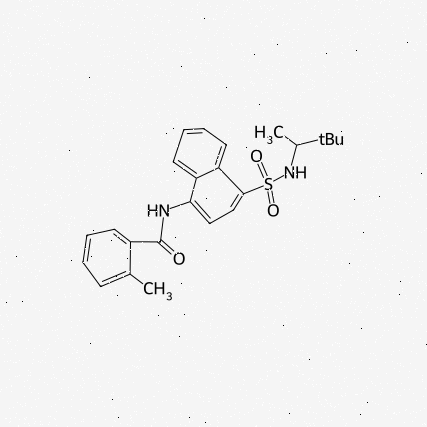 Cc1ccccc1C(=O)Nc1ccc(S(=O)(=O)NC(C)C(C)(C)C)c2ccccc12